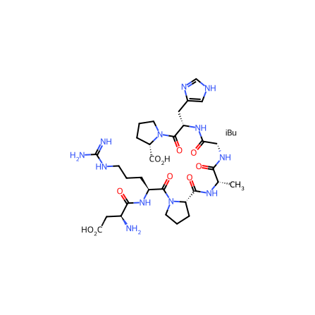 CC[C@H](C)[C@H](NC(=O)[C@H](C)NC(=O)[C@@H]1CCCN1C(=O)[C@H](CCCNC(=N)N)NC(=O)[C@@H](N)CC(=O)O)C(=O)N[C@@H](Cc1c[nH]cn1)C(=O)N1CCC[C@H]1C(=O)O